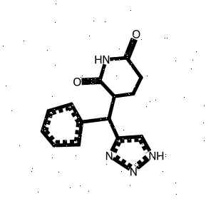 O=C1CCC(C(c2ccccc2)c2c[nH]nn2)C(=O)N1